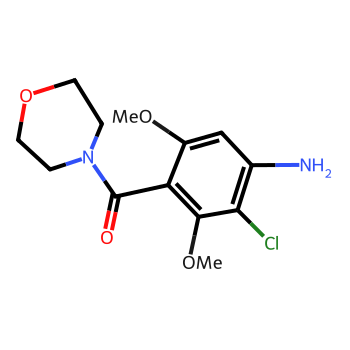 COc1cc(N)c(Cl)c(OC)c1C(=O)N1CCOCC1